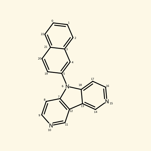 c1ccc2cc(-n3c4ccncc4c4cnccc43)ccc2c1